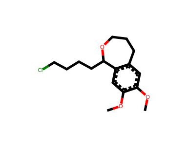 COc1cc2c(cc1OC)C(CCCCCl)OCCC2